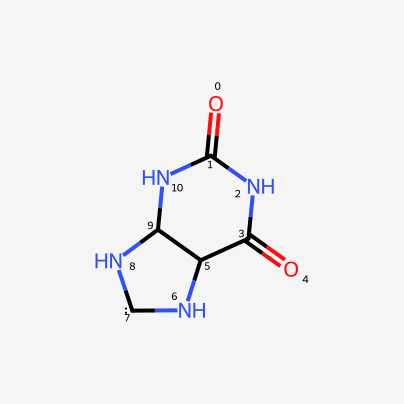 O=C1NC(=O)C2N[C]NC2N1